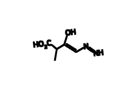 CC(C(=O)O)C(O)=CN=N